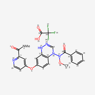 CNC(=O)c1cc(Oc2ccc3c(c2)NN=CN3N(OC(F)(F)F)C(=O)c2ccccc2)ccn1.O=C(O)C(F)(F)F